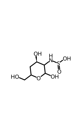 O=S(O)NC1C(O)OC(CO)C[C@H]1O